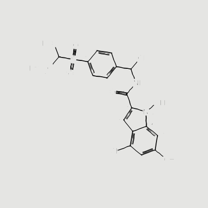 CCOC(=O)C(C)S(=O)(=O)c1ccc(C(C)NC(=O)c2cc3c(Cl)cc(C)cc3n2C)cc1